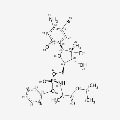 CC(C)OC(=O)[C@@H](C)N[P@@](=O)(OC[C@H]1O[C@@H](n2cc(Br)c(N)nc2=O)[C@](C)(F)[C@@H]1O)Oc1ccccc1